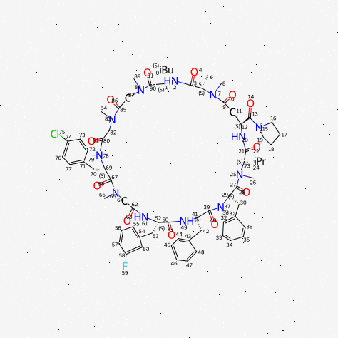 CC[C@H](C)[C@@H]1NC(=O)[C@H](C)N(C)C(=O)C[C@@H](C(=O)N2CCCC2)NC(=O)[C@H](C(C)C)N(C)C(=O)[C@H](Cc2ccccc2)N(C)C(=O)[C@H](Cc2ccccc2)NC(=O)[C@H](Cc2cccc(F)c2)NC(=O)CN(C)C(=O)[C@H](Cc2ccc(Cl)cc2)N(C)C(=O)CN(C)C(=O)CN(C)C1=O